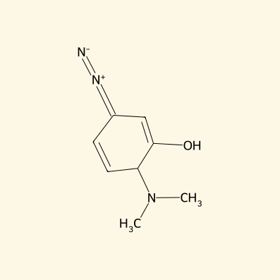 CN(C)C1C=CC(=[N+]=[N-])C=C1O